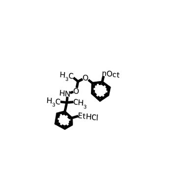 CCCCCCCCc1ccccc1OC(C)ONC(C)(C)c1ccccc1CC.Cl